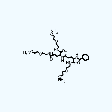 NOCCOCCNC(=O)CCC(NC(=O)CCC(NC(=O)C1CCCCC1)C(=O)NCCOCCON)C(=O)NCCOCCON